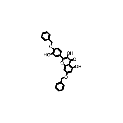 O=c1c(O)c(-c2ccc(OCc3ccccc3)c(O)c2)oc2cc(OCc3ccccc3)cc(O)c12